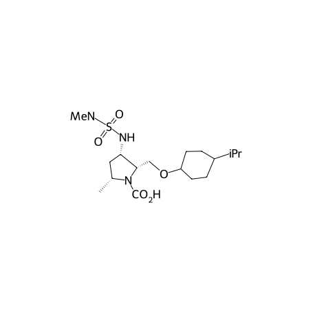 CNS(=O)(=O)N[C@H]1C[C@@H](C)N(C(=O)O)[C@H]1COC1CCC(C(C)C)CC1